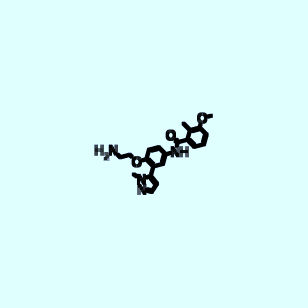 COc1cccc(C(=O)Nc2ccc(OCCN)c(-c3ccnn3C)c2)c1C